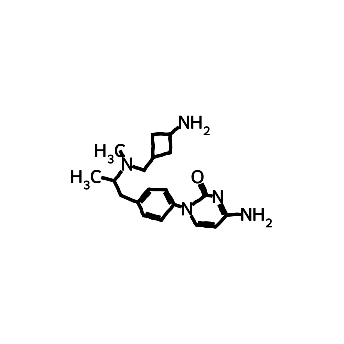 CC(Cc1ccc(-n2ccc(N)nc2=O)cc1)N(C)CC1CC(N)C1